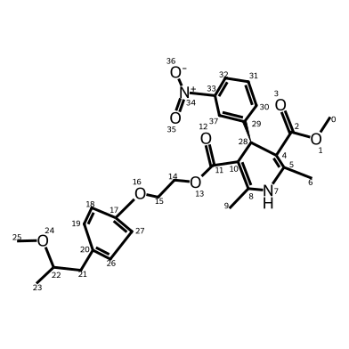 COC(=O)C1=C(C)NC(C)=C(C(=O)OCCOc2ccc(CC(C)OC)cc2)[C@H]1c1cccc([N+](=O)[O-])c1